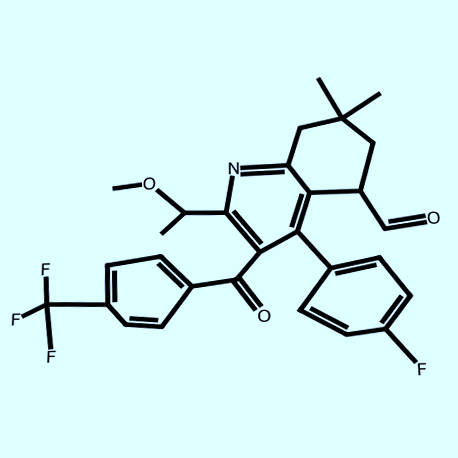 COC(C)c1nc2c(c(-c3ccc(F)cc3)c1C(=O)c1ccc(C(F)(F)F)cc1)C(C=O)CC(C)(C)C2